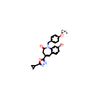 COc1ccc(CN2C(=O)CC(c3nnc(C4CC4)o3)=Cc3ccc(Br)cc32)cc1